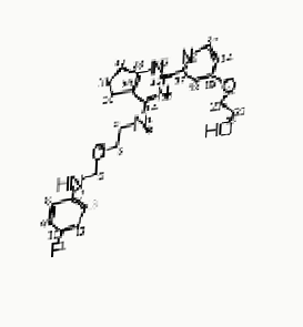 CN(CCOCNc1ccc(F)cc1)c1nc(-c2cc(OCCO)ccn2)nc2c1CCC2